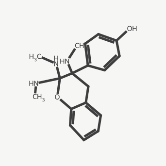 CNC1(NC)Oc2ccccc2CC1(NC)c1ccc(O)cc1